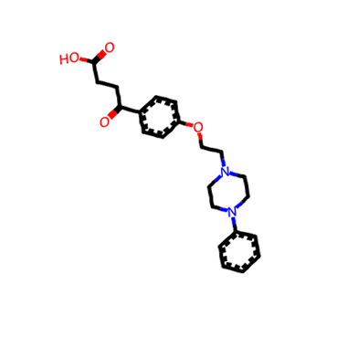 O=C(O)CCC(=O)c1ccc(OCCN2CCN(c3ccccc3)CC2)cc1